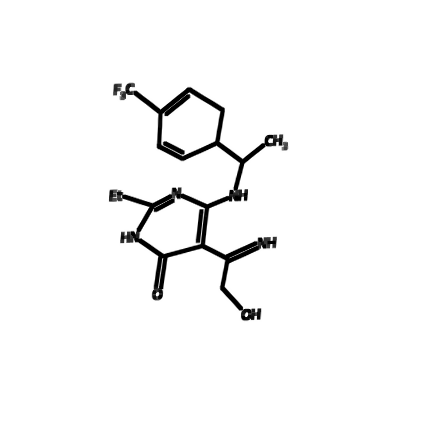 CCc1nc(NC(C)C2C=CC(C(F)(F)F)=CC2)c(C(=N)CO)c(=O)[nH]1